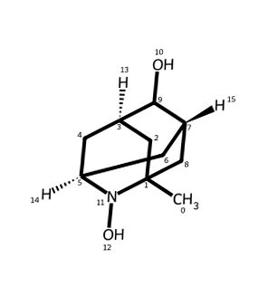 CC12C[C@H]3C[C@@H](C[C@@H](C1)C3O)N2O